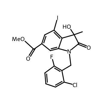 COC(=O)c1cc(I)c2c(c1)N(Cc1c(F)cccc1Cl)C(=O)C2(C)O